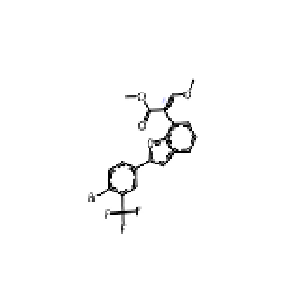 CO/C=C(/C(=O)OC)c1cccc2cc(-c3ccc(Br)c(C(F)(F)F)c3)oc12